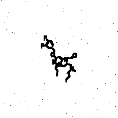 CC/C=C1/N=C(OCc2ccc(F)c(F)c2)C=C2N1CC(CN(C)CCCC)N2CC=O